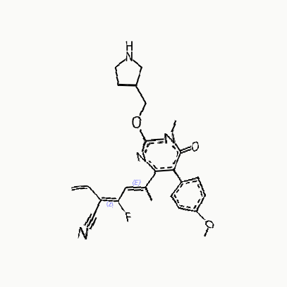 C=C/C(C#N)=C(F)\C=C(/C)c1nc(OCC2CCNC2)n(C)c(=O)c1-c1ccc(OC)cc1